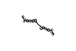 O=C(OCC1CO1)c1ccc(/N=N/c2ccc3c(c2)CCCN3CCCCCCN2CCCc3cc(/N=N/c4ccc(C(=O)OCC5CO5)cc4)ccc32)cc1